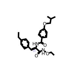 CCONC(=O)/C(=C/c1ccc(CC)cc1)NC(=O)c1ccc(OCC(C)C)cc1